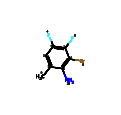 Cc1cc(F)c(F)c(Br)c1N